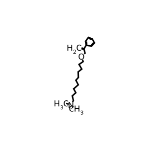 C=C(COCCCCCCCCCCCN(C)C)c1ccccc1